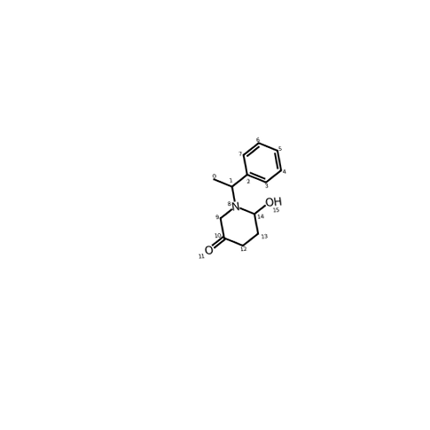 CC(c1ccccc1)N1CC(=O)CCC1O